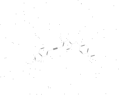 CCCNc1nc(Nc2ccc(C(N)=O)cc2)ncc1C#Cc1ccc2nc(CN)[nH]c2c1